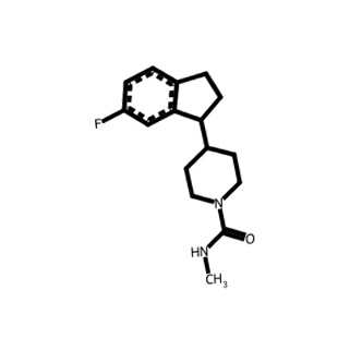 CNC(=O)N1CCC(C2CCc3ccc(F)cc32)CC1